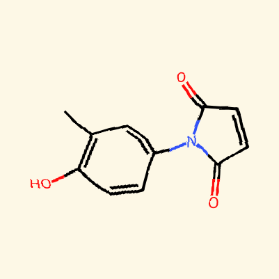 Cc1cc(N2C(=O)C=CC2=O)ccc1O